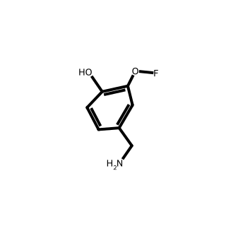 NCc1ccc(O)c(OF)c1